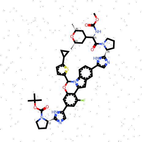 COC(=O)N[C@H](C(=O)N1CCC[C@@H]1c1ncc(-c2ccc3c(c2)cc2n3C(c3ccc(C4CC4)s3)Oc3cc(-c4cnc([C@@H]5CCCN5C(=O)OC(C)(C)C)[nH]4)cc(F)c3-2)[nH]1)C1C[C@@H](C)O[C@@H](C)C1